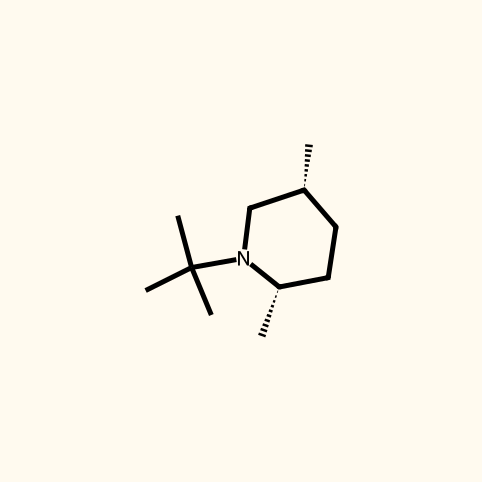 C[C@@H]1CC[C@H](C)N(C(C)(C)C)C1